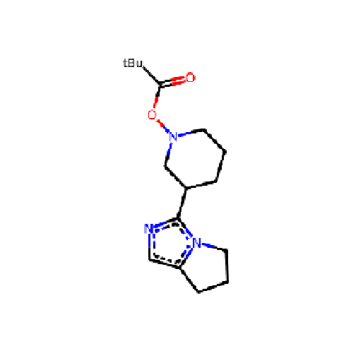 CC(C)(C)C(=O)ON1CCCC(c2ncc3n2CCC3)C1